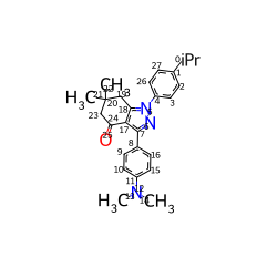 CC(C)c1ccc(-n2nc(-c3ccc(N(C)C)cc3)c3c2CC(C)(C)CC3=O)cc1